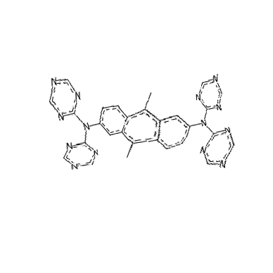 Cc1c2ccc(N(c3ncncn3)c3ncncn3)cc2c(C)c2ccc(N(c3ncncn3)c3ncncn3)cc12